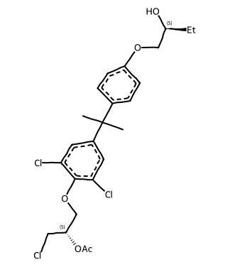 CC[C@H](O)COc1ccc(C(C)(C)c2cc(Cl)c(OC[C@@H](CCl)OC(C)=O)c(Cl)c2)cc1